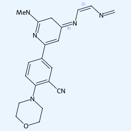 C=N/C=C\N=C1\C=C(c2ccc(N3CCOCC3)c(C#N)c2)N=C(NC)C1